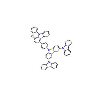 c1ccc2c(c1)Oc1ccc(-c3ccc(-n4c5ccc(-n6c7ccccc7c7ccccc76)cc5c5cc(-n6c7ccccc7c7ccccc76)ccc54)cc3)c3c4ccccc4n-2c13